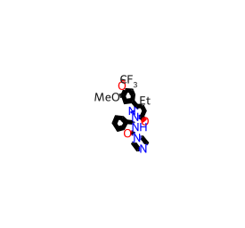 CCC1CC(=O)N(C(NC(=O)N2C=CN=CC2)c2ccccc2)N=C1c1ccc(OC(F)(F)F)c(OC)c1